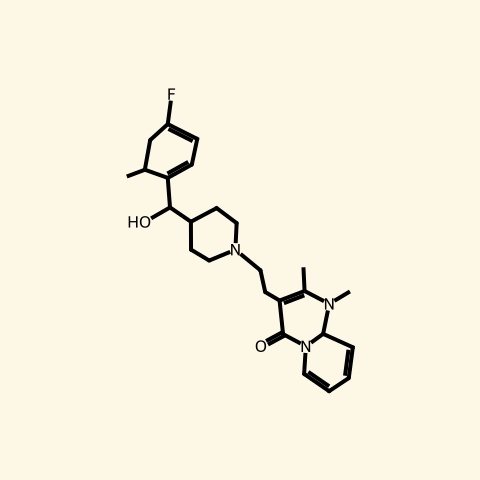 CC1=C(CCN2CCC(C(O)C3=CC=C(F)CC3C)CC2)C(=O)N2C=CC=CC2N1C